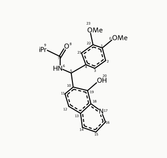 COc1ccc(C(NC(=O)C(C)C)c2ccc3cccnc3c2O)cc1OC